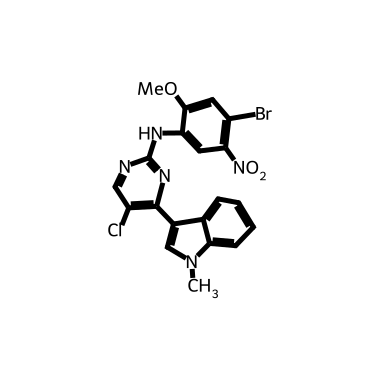 COc1cc(Br)c([N+](=O)[O-])cc1Nc1ncc(Cl)c(-c2cn(C)c3ccccc23)n1